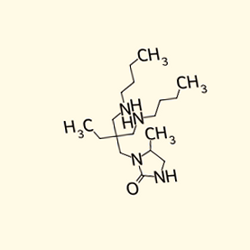 CCCCNCC(CC)(CNCCCC)CN1C(=O)NCC1C